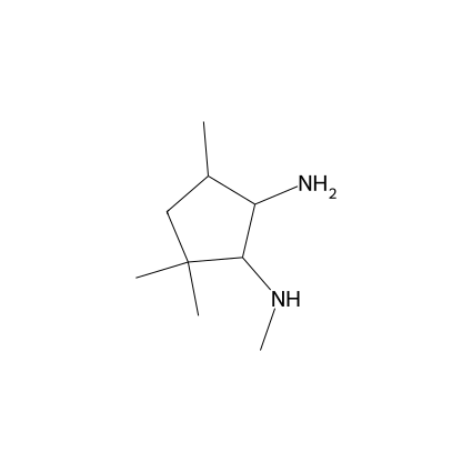 CNC1C(N)C(C)CC1(C)C